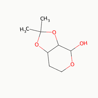 CC1(C)OC2CCOC(O)C2O1